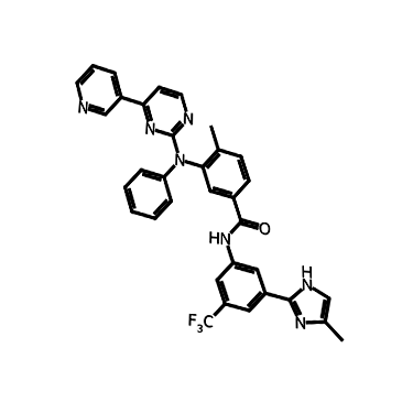 Cc1c[nH]c(-c2cc(NC(=O)c3ccc(C)c(N(c4ccccc4)c4nccc(-c5cccnc5)n4)c3)cc(C(F)(F)F)c2)n1